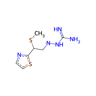 CSC(C[N]NC(=N)N)c1nccs1